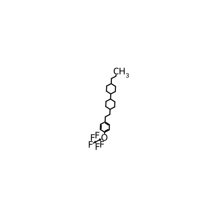 CCCC1CCC(C2CCC(CCc3ccc(OC(F)(F)C(F)(F)F)cc3)CC2)CC1